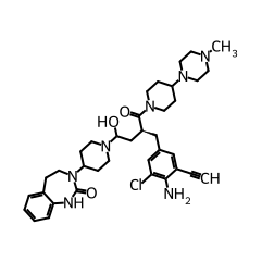 C#Cc1cc(C[C@@H](CC(O)N2CCC(N3CCc4ccccc4NC3=O)CC2)C(=O)N2CCC(N3CCN(C)CC3)CC2)cc(Cl)c1N